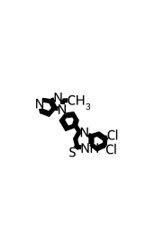 Cc1nc2cnccc2n1-c1ccc(C2=Nc3cc(Cl)c(Cl)cc3NC(=S)C2)cc1